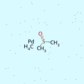 C.CS(C)=O.[Pd]